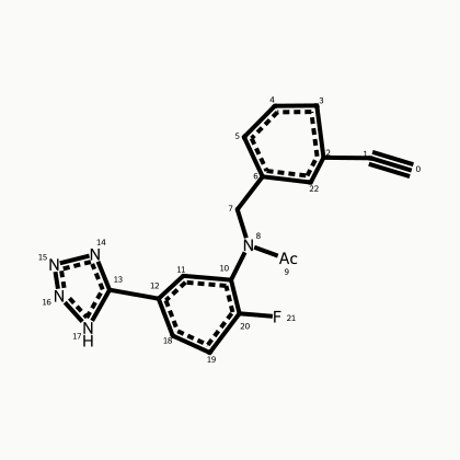 C#Cc1cccc(CN(C(C)=O)c2cc(-c3nnn[nH]3)ccc2F)c1